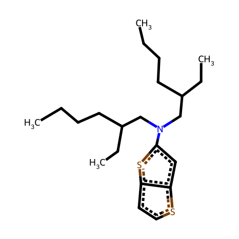 CCCCC(CC)CN(CC(CC)CCCC)c1cc2sccc2s1